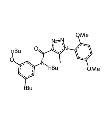 CCCCOc1cc(N(CCCC)C(=O)c2nnn(-c3cc(OC)ccc3OC)c2C)cc(C(C)(C)C)c1